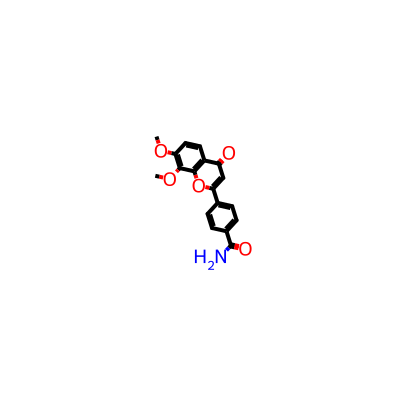 COc1ccc2c(=O)cc(-c3ccc(C(N)=O)cc3)oc2c1OC